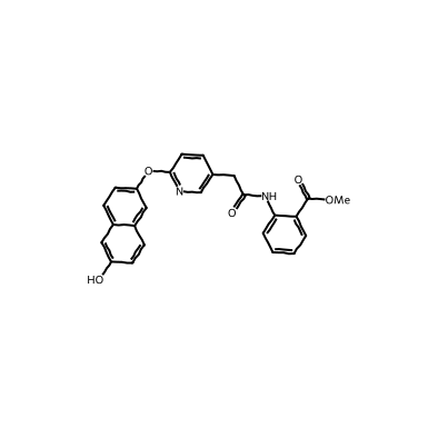 COC(=O)c1ccccc1NC(=O)Cc1ccc(Oc2ccc3cc(O)ccc3c2)nc1